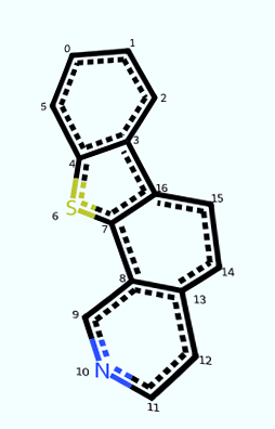 c1ccc2c(c1)sc1c3cnccc3ccc21